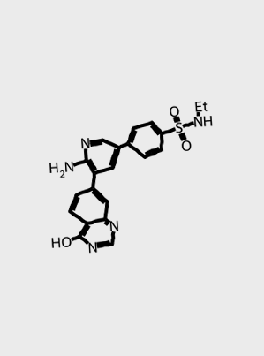 CCNS(=O)(=O)c1ccc(-c2cnc(N)c(-c3ccc4c(O)ncnc4c3)c2)cc1